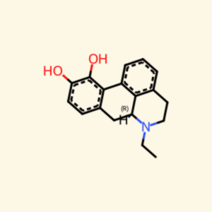 CCN1CCc2cccc3c2[C@H]1Cc1ccc(O)c(O)c1-3